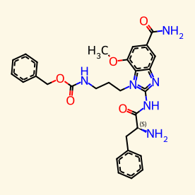 COc1cc(C(N)=O)cc2nc(NC(=O)[C@@H](N)Cc3ccccc3)n(CCCNC(=O)OCc3ccccc3)c12